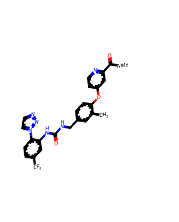 CNC(=O)c1cc(Oc2ccc(CNC(=O)Nc3cc(C(F)(F)F)ccc3-n3ccnn3)cc2C)ccn1